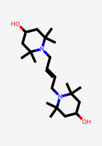 CC1(C)CC(O)CC(C)(C)N1CC=CCN1C(C)(C)CC(O)CC1(C)C